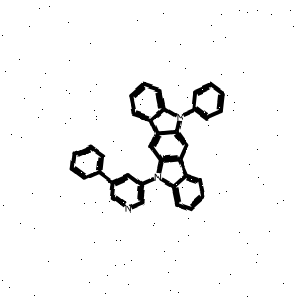 c1ccc(-c2cncc(-n3c4ccccc4c4cc5c(cc43)c3ccccc3n5-c3ccccc3)c2)cc1